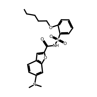 CCCCCOc1ccccc1S(=O)(=O)NC(=O)c1cc2ccc(N(C)C)cc2o1